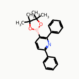 CC1(C)OB(c2ccc(-c3ccccc3)nc2-c2ccccc2)OC1(C)C